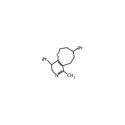 CC1=NCC(C(C)C)C2=C1CCC(C(C)C)CCC2